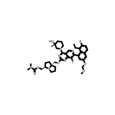 CCc1c(F)ccc2cc(OCOC)cc(-c3ncc4c(N5CCC[C@@](C)(O)C5)nc(OC[C@]56CCCN5[C@@H](COC(=O)N(C)C)CC6)nc4c3F)c12